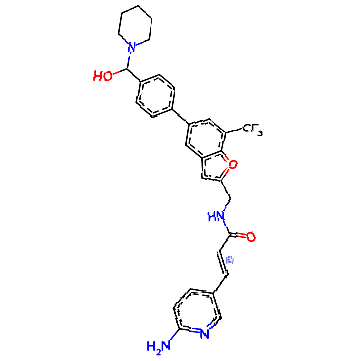 Nc1ccc(/C=C/C(=O)NCc2cc3cc(-c4ccc(C(O)N5CCCCC5)cc4)cc(C(F)(F)F)c3o2)cn1